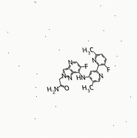 Cc1ccc(F)c(-c2cc(Nc3c(F)cnc4cn(CC(N)=O)nc34)c(C)cn2)n1